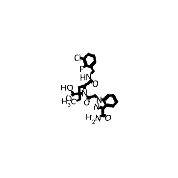 CCC1(C(=O)O)CC(C(=O)NCc2cccc(Cl)c2F)N1C(=O)Cn1nc(C(N)=O)c2ccccc21